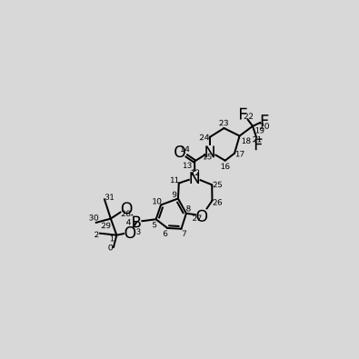 CC1(C)OB(c2ccc3c(c2)CN(C(=O)N2CCC(C(F)(F)F)CC2)CCO3)OC1(C)C